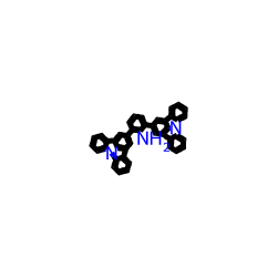 Nc1c(-c2cc3c4ccccc4n4c5ccccc5c(c2)c34)cccc1-c1cc2c3ccccc3n3c4ccccc4c(c1)c23